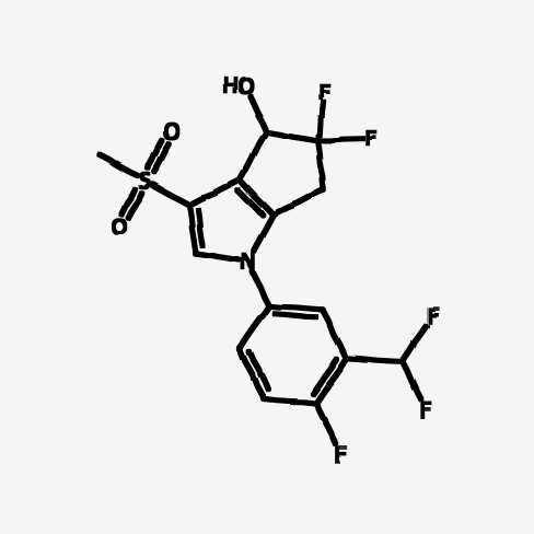 CS(=O)(=O)c1cn(-c2ccc(F)c(C(F)F)c2)c2c1C(O)C(F)(F)C2